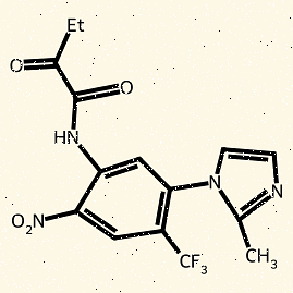 CCC(=O)C(=O)Nc1cc(-n2ccnc2C)c(C(F)(F)F)cc1[N+](=O)[O-]